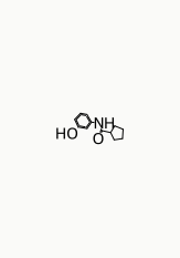 O=C(Nc1cccc(O)c1)C1CCCC1